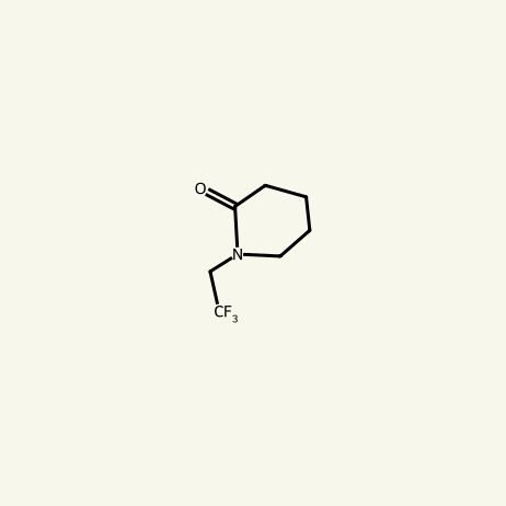 O=C1CCCCN1CC(F)(F)F